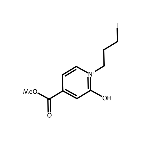 COC(=O)c1cc[n+](CCCI)c(O)c1